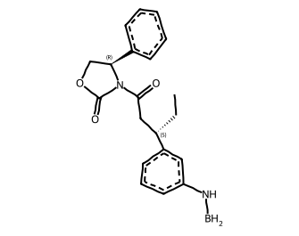 BNc1cccc([C@@H](CC)CC(=O)N2C(=O)OC[C@H]2c2ccccc2)c1